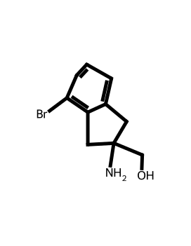 NC1(CO)Cc2cccc(Br)c2C1